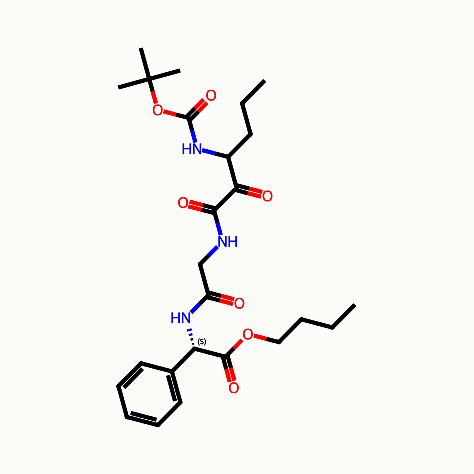 CCCCOC(=O)[C@@H](NC(=O)CNC(=O)C(=O)C(CCC)NC(=O)OC(C)(C)C)c1ccccc1